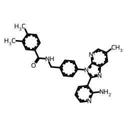 Cc1cnc2c(c1)nc(-c1cccnc1N)n2-c1ccc(CNC(=O)c2ccc(C)c(C)c2)cc1